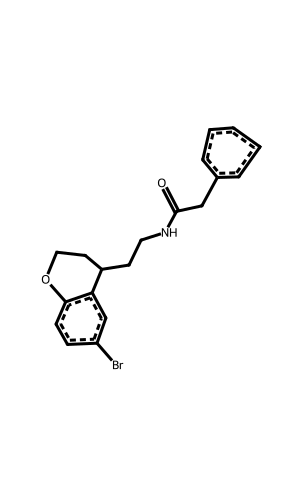 O=C(Cc1ccccc1)NCCC1CCOc2ccc(Br)cc21